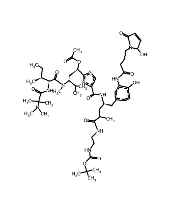 CC[C@H](C)[C@H](NC(=O)C(C)(C)N(C)C)C(=O)N(C)[C@H](C[C@@H](OC(C)=O)c1nc(C(=O)N[C@@H](Cc2ccc(O)c(NC(=O)CCCN3C(=O)C=CC3O)c2)CC(C)C(=O)NCCNC(=O)OC(C)(C)C)cs1)C(C)C